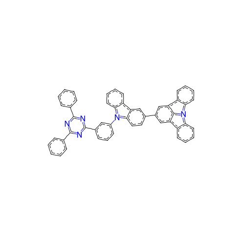 c1ccc(-c2nc(-c3ccccc3)nc(-c3cccc(-n4c5ccccc5c5cc(-c6cc7c8ccccc8n8c9ccccc9c(c6)c78)ccc54)c3)n2)cc1